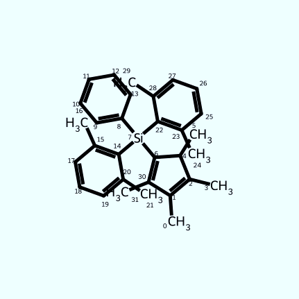 CC1=C(C)C(C)C([Si](c2ccccc2)(c2c(C)cccc2C)c2c(C)cccc2C)=C1C